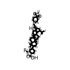 C=C(C)C1CCC2(NCCN3CCC(S(C)(=O)=O)CC3)CCC3(C)C(CCC4C5(C)CC=C(C6=C[C@@H](CF)[C@H](C(=O)O)CC6)C(C)(C)C5CCC43C)C12